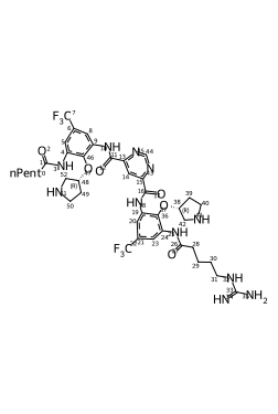 CCCCCC(=O)Nc1cc(C(F)(F)F)cc(NC(=O)c2cc(C(=O)Nc3cc(C(F)(F)F)cc(NC(=O)CCCCNC(=N)N)c3O[C@@H]3CCNC3)ncn2)c1O[C@@H]1CCNC1